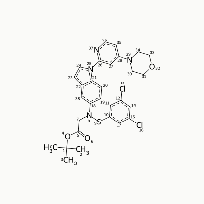 CC(C)(C)OC(=O)CN(Sc1cc(Cl)cc(Cl)c1)c1ccc2c(ccn2-c2cc(N3CCOCC3)ccn2)c1